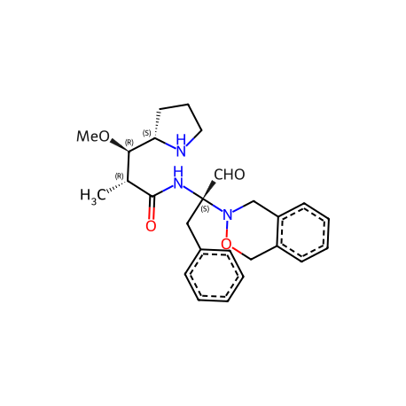 CO[C@@H]([C@@H]1CCCN1)[C@@H](C)C(=O)N[C@@](C=O)(Cc1ccccc1)N1Cc2ccccc2CO1